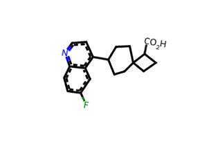 O=C(O)C1CCC12CCC(c1ccnc3ccc(F)cc13)CC2